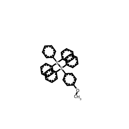 COc1ccc(S(c2ccccc2)(c2ccccc2)S(c2ccccc2)(c2ccccc2)c2ccccc2)cc1